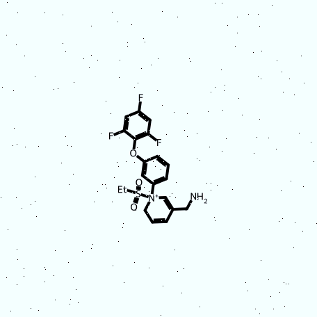 CCS(=O)(=O)[N+]1(c2cccc(Oc3c(F)cc(F)cc3F)c2)C=C(CN)C=CC1